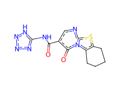 O=C(Nc1nnn[nH]1)c1cnc2sc3c(n2c1=O)CCCC3